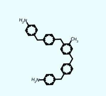 Cc1cc(Cc2ccc(Cc3ccc(N)cc3)cc2)ccc1Cc1ccc(Cc2ccc(N)cc2)cc1